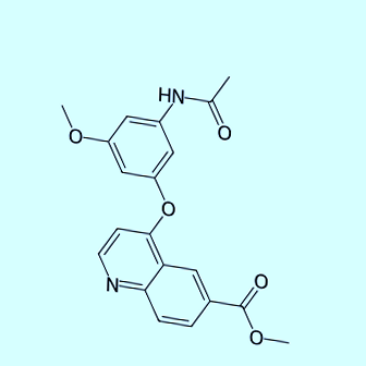 COC(=O)c1ccc2nccc(Oc3cc(NC(C)=O)cc(OC)c3)c2c1